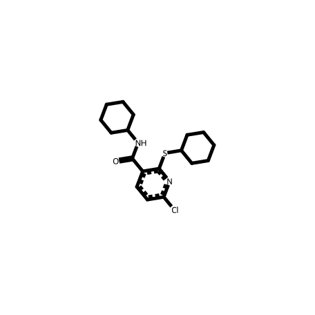 O=C(NC1CCCCC1)c1ccc(Cl)nc1SC1CCCCC1